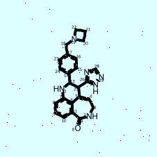 O=C1NCC=C2c3c(cccc31)NC(c1ccc(CN3CCC3)cc1)C2c1ncn[nH]1